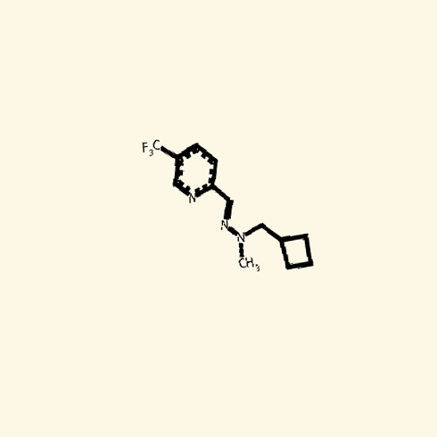 CN(CC1CCC1)/N=C/c1ccc(C(F)(F)F)cn1